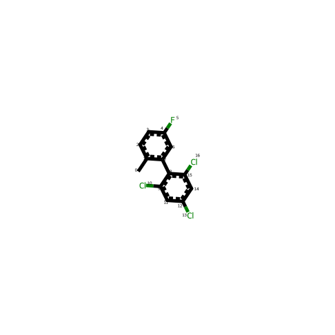 Cc1ccc(F)cc1-c1c(Cl)[c]c(Cl)cc1Cl